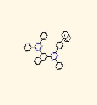 c1ccc(-c2nc(-c3ccc(C45CC6CC(CC(C6)C4)C5)cc3)nc(-c3cc(-c4nc(-c5ccccc5)nc(-c5ccccc5)n4)c4ccccc4c3)n2)cc1